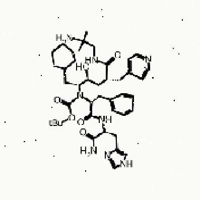 CC(C)(N)CNC(=O)[C@H](Cc1ccncc1)C[C@H](O)[C@H](CC1CCCCC1)N(C(=O)OC(C)(C)C)[C@@H](Cc1ccccc1)C(=O)N[C@@H](Cc1c[nH]cn1)C(N)=O